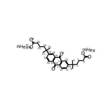 CCCCCCOC(=O)CCCC(C)(C)c1ccc2c(c1)C(=O)c1cc(C(C)(C)CCCC(=O)OCCCCCC)ccc1C2=O